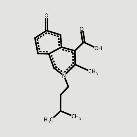 Cc1c(C(=O)O)c2cc(=O)ccc-2cn1CCC(C)C